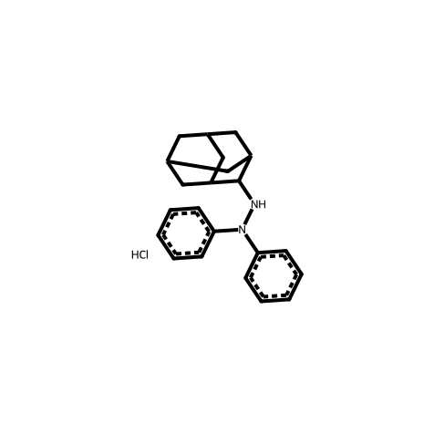 Cl.c1ccc(N(NC2C3CC4CC(C3)CC2C4)c2ccccc2)cc1